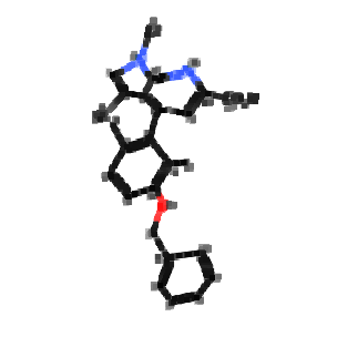 CCn1cc(C#N)c2c(-c3c(C)ccc(OCc4ccccc4)c3C)cc(C(=O)O)nc21